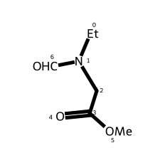 CCN([CH]C(=O)OC)C=O